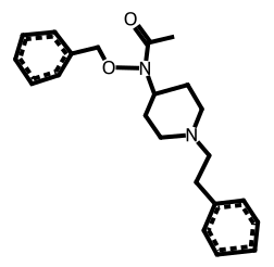 CC(=O)N(OCc1ccccc1)C1CCN(CCc2ccccc2)CC1